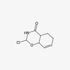 O=C1NC(Cl)OC2C=CCCC12